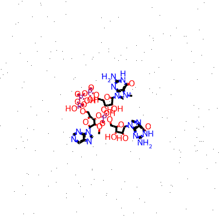 COC1C(OP(=O)(O)OCC2OC(n3cnc4c(=O)[nH]c(N)nc43)C(O)C2O)C(COP(=O)(O)OP(=O)(O)OP(=O)(O)OCC2OC(n3c[n+](C)c4c(=O)[nH]c(N)nc43)C(O)C2O)OC1n1cnc2cncnc21